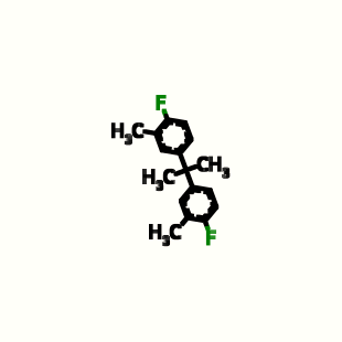 Cc1cc(C(C)(C)c2ccc(F)c(C)c2)ccc1F